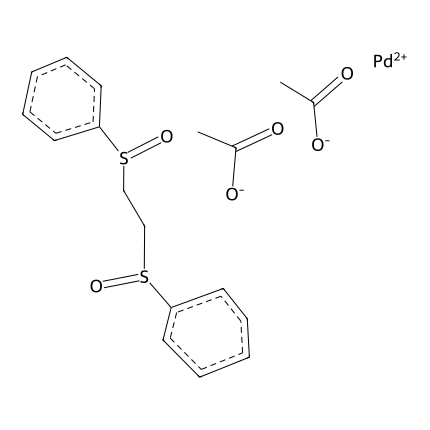 CC(=O)[O-].CC(=O)[O-].O=S(CCS(=O)c1ccccc1)c1ccccc1.[Pd+2]